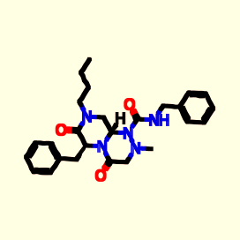 CCCCN1C[C@H]2N(C(=O)CN(C)N2C(=O)NCc2ccccc2)[C@@H](Cc2ccccc2)C1=O